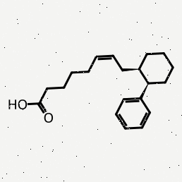 O=C(O)CCCC/C=C\C[C@H]1CCCC[C@H]1c1ccccc1